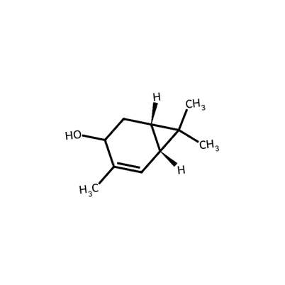 CC1=C[C@@H]2[C@H](CC1O)C2(C)C